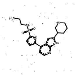 NCCNS(=O)(=O)c1ccc(-c2ccnc3[nH]c(C4CCCNC4)cc23)s1